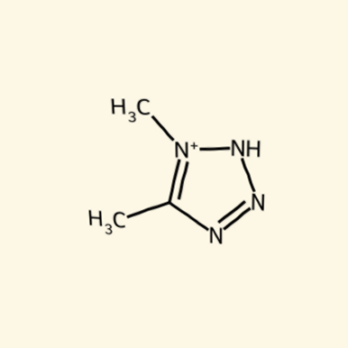 Cc1nn[nH][n+]1C